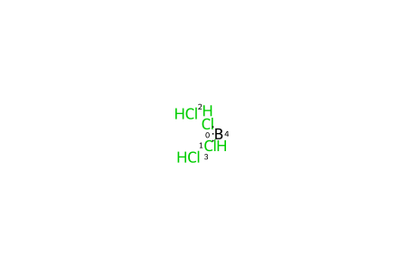 Cl.Cl.Cl.Cl.[B]